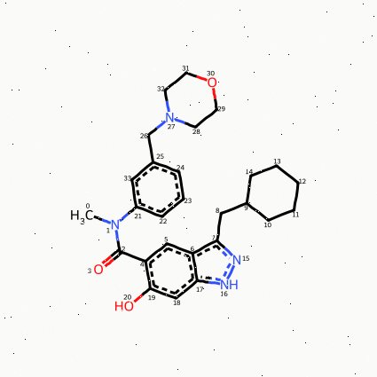 CN(C(=O)c1cc2c(CC3CCCCC3)n[nH]c2cc1O)c1cccc(CN2CCOCC2)c1